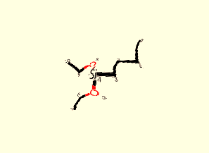 CCCC[Si](OCC)OCC